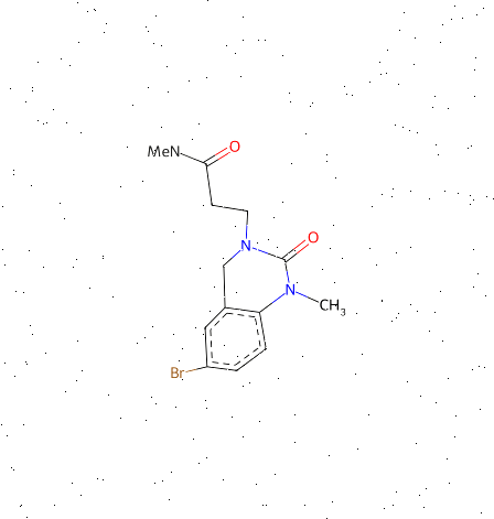 CNC(=O)CCN1Cc2cc(Br)ccc2N(C)C1=O